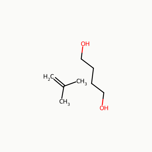 C=C(C)C.OCCCCO